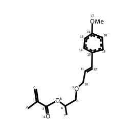 C=C(C)C(=O)OC(C)COC/C=C/c1ccc(OC)cc1